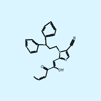 C/C=C\C(=O)/C(O)=C/c1ncc(C#N)n1CCC(c1ccccc1)c1ccccc1